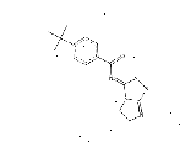 CC(C)(C)c1ccc(C(=O)N=C2SSC3=NCCN32)cc1